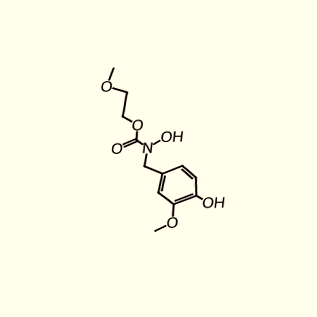 COCCOC(=O)N(O)Cc1ccc(O)c(OC)c1